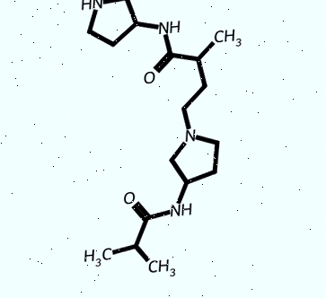 CC(C)C(=O)NC1CCN(CCC(C)C(=O)NC2CCNC2)C1